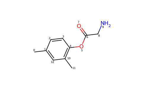 Cc1ccc(OC(=O)CN)c(C)c1